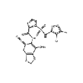 COC1=C(NC(=O)c2sccc2S(=O)(=O)Nc2onc(C)c2Cl)C(=C=O)CC2=C1OCO2